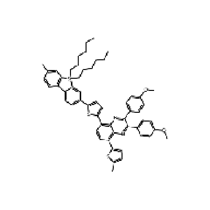 CCCCCC[Si]1(CCCCCC)c2cc(C)ccc2-c2ccc(-c3ccc(-c4ccc(-c5ccc(C)s5)c5nc(-c6ccc(OC)cc6)c(-c6ccc(OC)cc6)nc45)s3)cc21